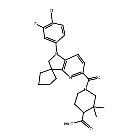 COC(=O)C1CCN(C(=O)c2ccc3c(n2)C2(CCCC2)CN3c2ccc(Cl)c(F)c2)CC1(C)C